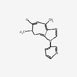 CC1=c2\ncn(-c3cccnc3)\c2=C/CC(C)/C(Cl)=N\1